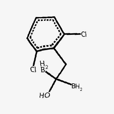 BC(B)(O)Cc1c(Cl)cccc1Cl